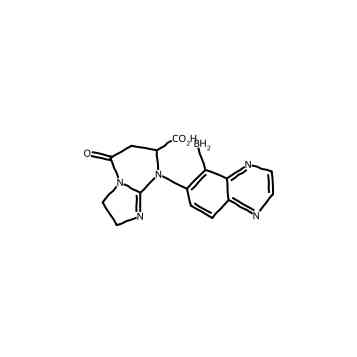 Bc1c(N2C3=NCCN3C(=O)CC2C(=O)O)ccc2nccnc12